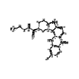 COc1ccc(F)cc1Nc1ncnc2[nH]c3c(c12)C[C@@H](C(=O)NCCC(F)(F)F)CC3